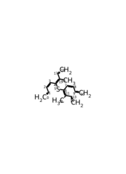 C=C/C=C\C(SC(/C=C\C=C)=C(\C)C=C)=C(\C)C=C